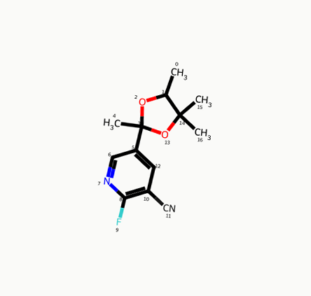 CC1OC(C)(c2cnc(F)c(C#N)c2)OC1(C)C